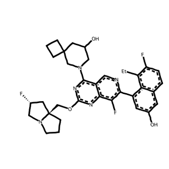 CCc1c(F)ccc2cc(O)cc(-c3ncc4c(N5CC(O)CC6(CCC6)C5)nc(OC[C@@]56CCCN5C[C@H](F)C6)nc4c3F)c12